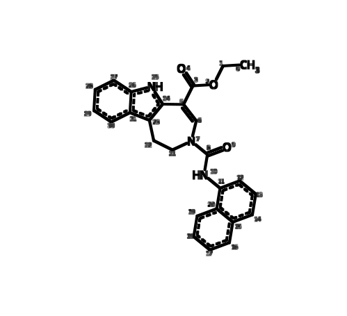 CCOC(=O)C1=CN(C(=O)Nc2cccc3ccccc23)CCc2c1[nH]c1ccccc21